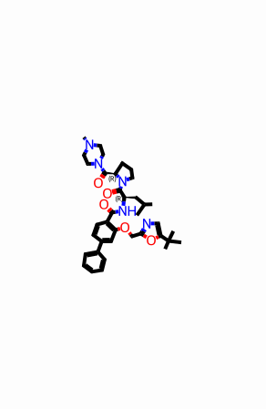 CC(C)C[C@@H](NC(=O)c1ccc(-c2ccccc2)cc1OCc1ncc(C(C)(C)C)o1)C(=O)N1CCC[C@@H]1C(=O)N1CCN(C)CC1